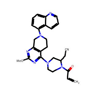 C=CC(=O)N1CCN(c2nc(OC)nc3c2CCN(c2cccc4ncccc24)C3)CC1CC#N